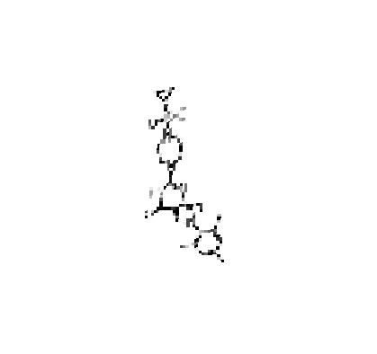 Cc1cc(C)c(-n2cc3c(=O)[nH]c(N4CCN(S(=O)(=O)C5CC5)CC4)nc3n2)c(C)c1